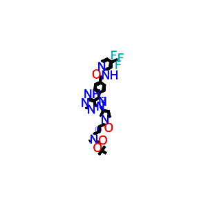 CN(C/C=C/C(=O)N1CCC(n2nc(-c3ccc(C(=O)Nc4cc(C(F)(F)F)ccn4)cc3)c3c(N)ncnc32)C1)C(=O)OC(C)(C)C